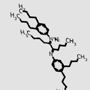 CCCCC(=Nc1ccc(CCCC)c(CCCC)c1)C(CCCC)=[N+]([Ni])c1ccc(CCCC)c(CCCC)c1